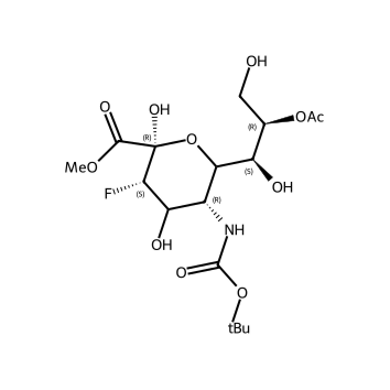 COC(=O)[C@@]1(O)OC([C@H](O)[C@@H](CO)OC(C)=O)[C@H](NC(=O)OC(C)(C)C)C(O)[C@@H]1F